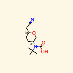 CC(C)(C)N(C(=O)O)[C@@H]1CC[C@@H](CC#N)OC1